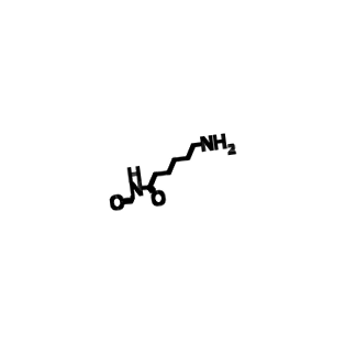 NCCCCCC(=O)NC=O